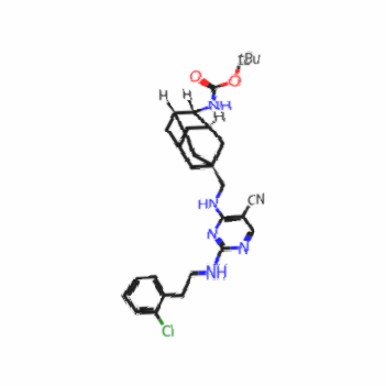 CC(C)(C)OC(=O)N[C@@H]1[C@@H]2CC3C[C@H]1C[C@@](CNc1nc(NCCc4ccccc4Cl)ncc1C#N)(C3)C2